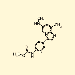 CNc1cc(C)c2ncc(-c3ccc(NC(=O)OC)nc3)n2c1